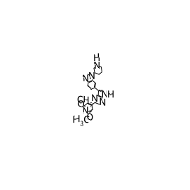 COc1cc(-c2cnc3[nH]cc(-c4ccc5ncn(C6CCCNC6)c5c4)c3n2)cc(OC)n1